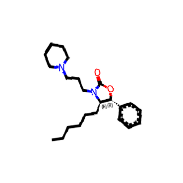 CCCCCC[C@@H]1[C@@H](c2ccccc2)OC(=O)N1CCCN1CCCCC1